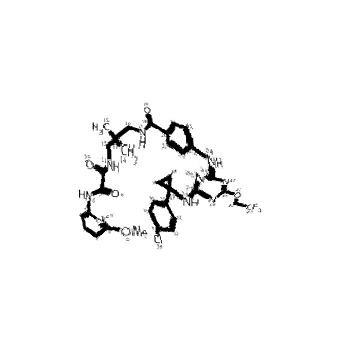 COc1cccc(NC(=O)C(=O)NCC(C)(C)CNC(=O)c2ccc(Nc3nc(NC4(c5ccc(Cl)cc5)CC4)nc(OCC(F)(F)F)n3)cc2)n1